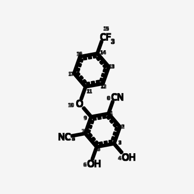 N#Cc1cc(O)c(O)c(C#N)c1Oc1ccc(C(F)(F)F)cc1